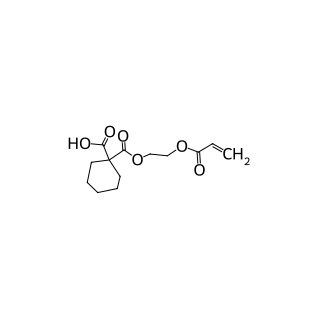 C=CC(=O)OCCOC(=O)C1(C(=O)O)CCCCC1